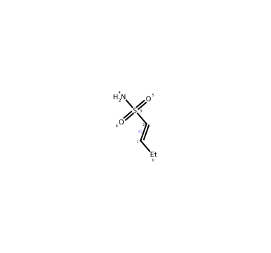 CC/C=C/S(N)(=O)=O